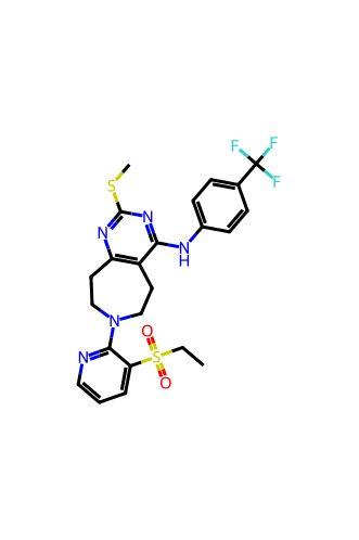 CCS(=O)(=O)c1cccnc1N1CCc2nc(SC)nc(Nc3ccc(C(F)(F)F)cc3)c2CC1